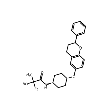 CCC(C)(O)C(=O)N[C@H]1CC[C@H](Oc2ccc3c(c2)CCC(c2ccccc2)O3)CC1